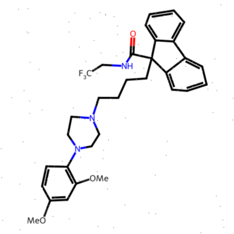 COc1ccc(N2CCN(CCCCC3(C(=O)NCC(F)(F)F)c4ccccc4-c4ccccc43)CC2)c(OC)c1